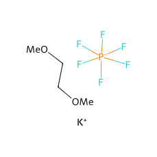 COCCOC.F[P-](F)(F)(F)(F)F.[K+]